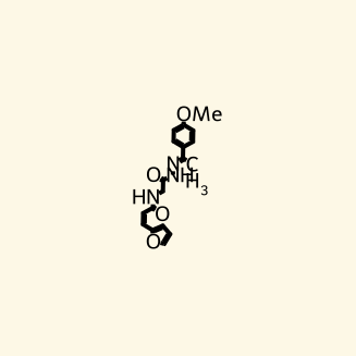 COc1ccc(/C(C)=N/NC(=O)CNC(=O)/C=C\c2ccco2)cc1